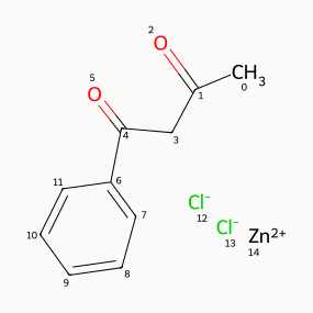 CC(=O)CC(=O)c1ccccc1.[Cl-].[Cl-].[Zn+2]